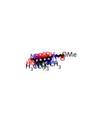 COC(=O)CCCNCc1cc(N(C)C)c2c(c1O)C(=O)C1=C(O)C3(O)C(=O)C(C(N)=O)=C(O)[C@@H](N(C)C)[C@@H]3C[C@@H]1C2